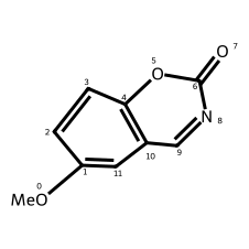 COc1ccc2oc(=O)ncc2c1